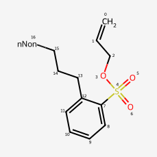 C=CCOS(=O)(=O)c1ccccc1CCCCCCCCCCCC